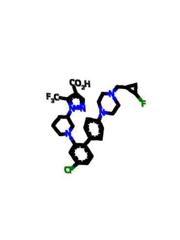 O=C(O)c1cnn(C2CCCN(c3cc(Cl)ccc3-c3ccc(N4CCN(CC5CC5F)CC4)cc3)C2)c1C(F)(F)F